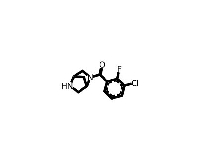 O=C(c1cccc(Cl)c1F)N1CC2CC1CN2